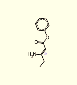 CC/C(N)=C/C(=O)Oc1ccccc1